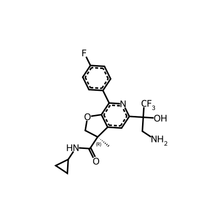 C[C@]1(C(=O)NC2CC2)COc2c1cc(C(O)(CN)C(F)(F)F)nc2-c1ccc(F)cc1